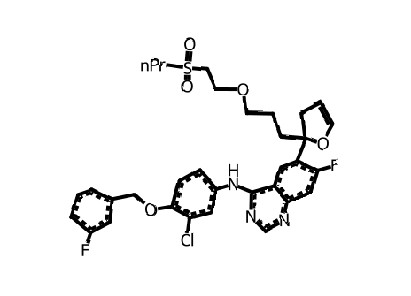 CCCS(=O)(=O)CCOCCCC1(c2cc3c(Nc4ccc(OCc5cccc(F)c5)c(Cl)c4)ncnc3cc2F)CC=CO1